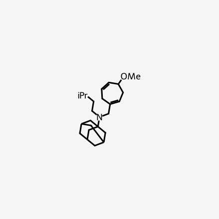 COC1C=CCC(CN(CCC(C)C)C23CC4CC(CC(C4)C2)C3)=CC1